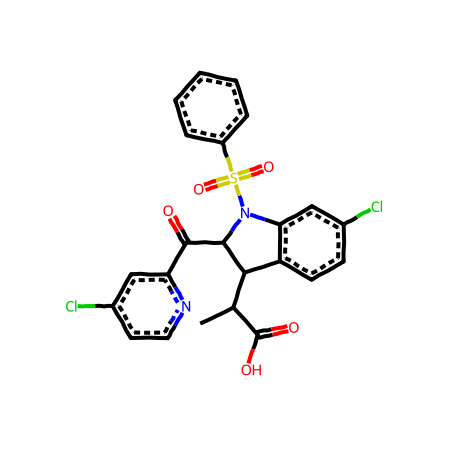 CC(C(=O)O)C1c2ccc(Cl)cc2N(S(=O)(=O)c2ccccc2)C1C(=O)c1cc(Cl)ccn1